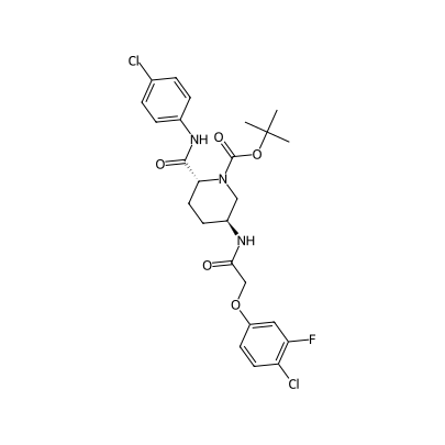 CC(C)(C)OC(=O)N1C[C@@H](NC(=O)COc2ccc(Cl)c(F)c2)CC[C@@H]1C(=O)Nc1ccc(Cl)cc1